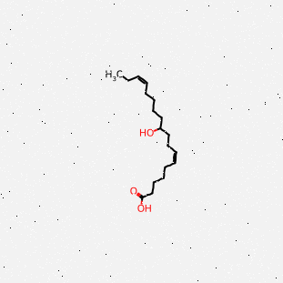 CC/C=C\CCCCC(O)CC/C=C\CCCCC(=O)O